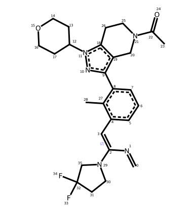 C=N/C(=C\c1cccc(-c2nn(C3CCOCC3)c3c2CN(C(C)=O)CC3)c1C)N1CCC(F)(F)C1